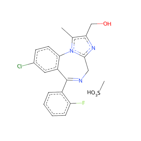 CS(=O)(=O)O.Cc1c(CO)nc2n1-c1ccc(Cl)cc1C(c1ccccc1F)=NC2